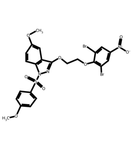 COc1ccc(S(=O)(=O)n2nc(OCCOc3c(Br)cc([N+](=O)[O-])cc3Br)c3cc(OC)ccc32)cc1